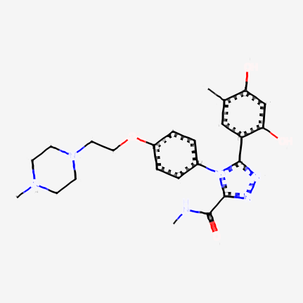 CCNC(=O)c1nnc(-c2cc(C(C)C)c(O)cc2O)n1-c1ccc(OCCN2CCN(C)CC2)cc1